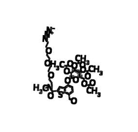 CC(=O)OC[C@H]1O[C@@H](Oc2ccc(C=O)c3sc(C(=O)N(C)CCOCCOCCOCCN=[N+]=[N-])cc23)C(OC(C)=O)[C@@H](OC(C)=O)[C@H]1OC(C)=O